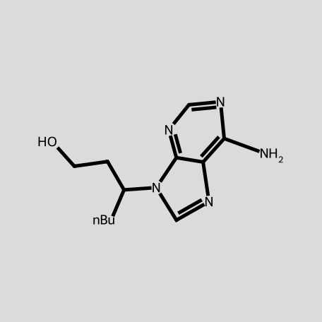 CCCCC(CCO)n1cnc2c(N)ncnc21